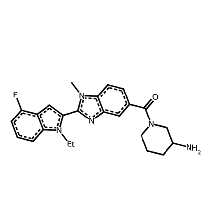 CCn1c(-c2nc3cc(C(=O)N4CCCC(N)C4)ccc3n2C)cc2c(F)cccc21